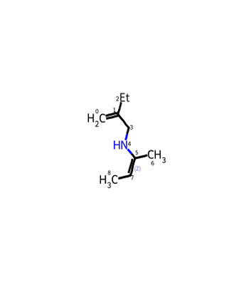 C=C(CC)CN/C(C)=C\C